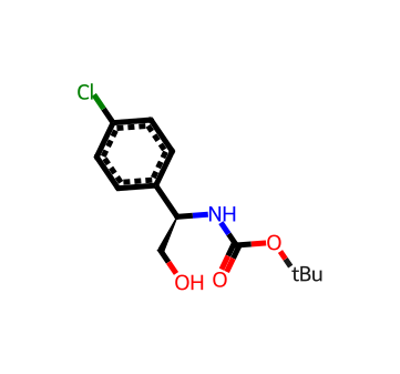 CC(C)(C)OC(=O)N[C@@H](CO)c1ccc(Cl)cc1